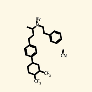 CC#N.CC(C)N(CCc1ccccc1)C(C)CCc1ccc(C2CCC(C(F)(F)F)C(C(F)(F)F)C2)cc1